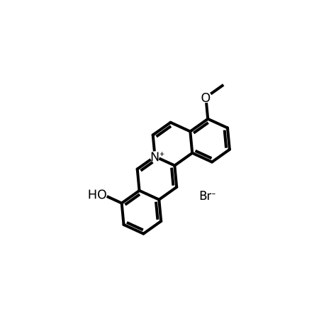 COc1cccc2c1cc[n+]1cc3c(O)cccc3cc21.[Br-]